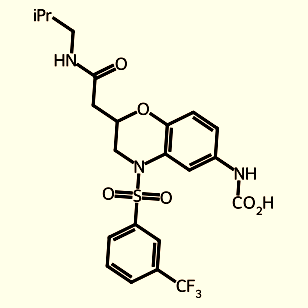 CC(C)CNC(=O)CC1CN(S(=O)(=O)c2cccc(C(F)(F)F)c2)c2cc(NC(=O)O)ccc2O1